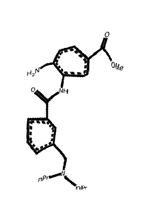 CCCN(CCC)Cc1cccc(C(=O)Nc2cc(C(=O)OC)ccc2N)c1